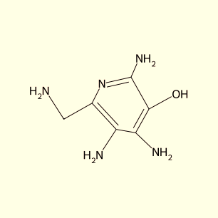 NCc1nc(N)c(O)c(N)c1N